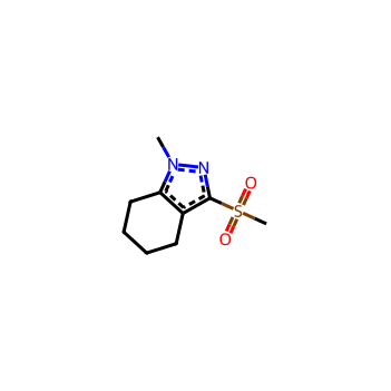 Cn1nc(S(C)(=O)=O)c2c1CCCC2